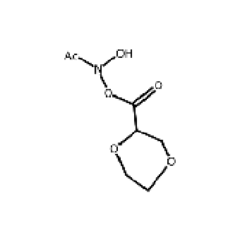 CC(=O)N(O)OC(=O)C1COCCO1